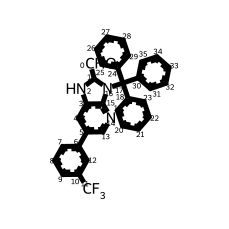 O=CC1Nc2cc(-c3cccc(C(F)(F)F)c3)cnc2N1C(c1ccccc1)(c1ccccc1)c1ccccc1